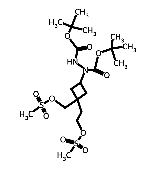 CC(C)(C)OC(=O)NN(C(=O)OC(C)(C)C)C1CC(CCOS(C)(=O)=O)(COS(C)(=O)=O)C1